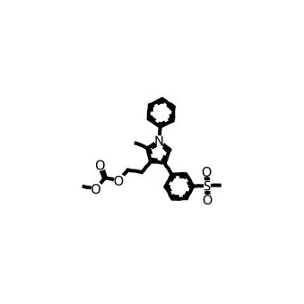 COC(=O)OCCc1c(-c2cccc(S(C)(=O)=O)c2)cn(-c2ccccc2)c1C